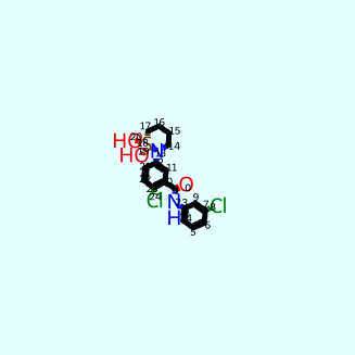 O=C(Nc1cccc(Cl)c1)c1cc(N2CCCCS2(O)O)ccc1Cl